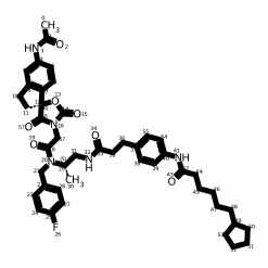 CC(=O)Nc1ccc2c(c1)CC[C@@]21OC(=O)N(CC(=O)N(Cc2ccc(F)cc2)[C@@H](C)CNC(=O)CCc2ccc(NC(=O)CCCCCC3CCCC3)cc2)C1=O